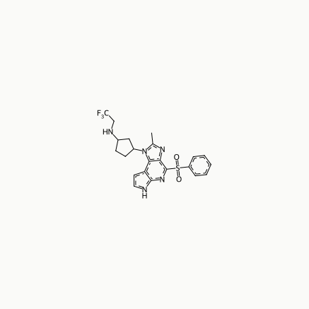 Cc1nc2c(S(=O)(=O)c3ccccc3)nc3[nH]ccc3c2n1C1CCC(NCC(F)(F)F)C1